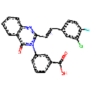 O=C(O)c1cccc(-n2c(/C=C/c3ccc(F)c(Cl)c3)nc3ccccc3c2=O)c1